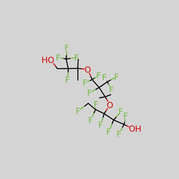 CC(C)(OC(F)(F)C(F)(C(F)(F)F)C(C)(C)OC(F)(C(F)(F)CF)C(F)(F)C(O)(F)F)C(F)(CO)C(F)(F)F